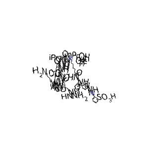 CCC/C(=C/CCCCCC(=O)NCCNC(=O)c1ccc(N/N=C/c2ccccc2S(=O)(=O)O)nc1)NC(=O)[C@H](CC(C)C)NC(=O)[C@H](CCc1ccccc1)NC(=O)CNC(=O)[C@H](CCCCNC(=N)N)NC(=O)[C@@H]1CCCN1C(=O)CN(CCCCN)C(C)=O.O=C(O)C(F)(F)F